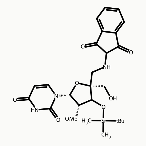 CO[C@H]1C(O[Si](C)(C)C(C)(C)C)[C@](CO)(CNC2C(=O)c3ccccc3C2=O)O[C@H]1n1ccc(=O)[nH]c1=O